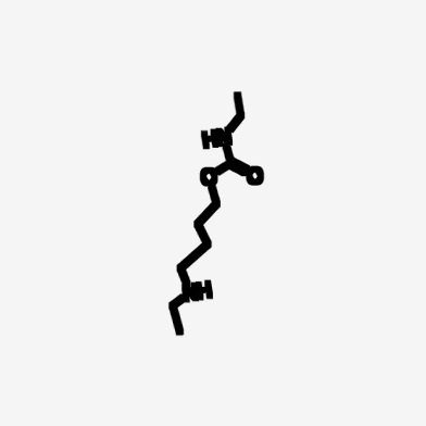 CCNCCCCOC(=O)NCC